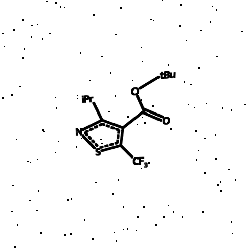 CC(C)c1nsc(C(F)(F)F)c1C(=O)OC(C)(C)C